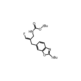 CCCCc1nc2ccc(CC(=CF)CNC(=O)OC(C)(C)C)cc2o1